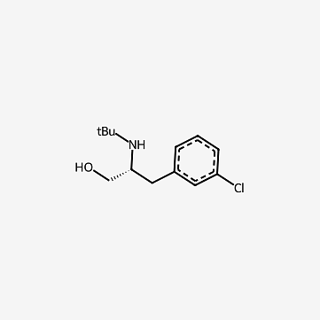 CC(C)(C)N[C@@H](CO)Cc1cccc(Cl)c1